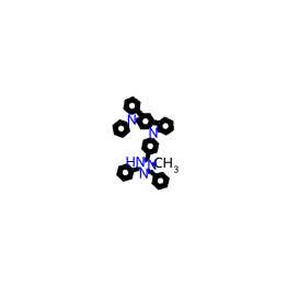 CN1C(c2ccccc2)=NC(c2ccccc2)NC1c1ccc(-n2c3ccccc3c3cc4c5ccccc5n(-c5ccccc5)c4cc32)cc1